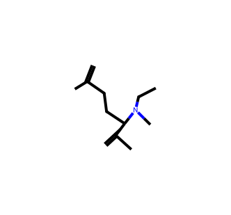 C=C(C)CCC(C(=C)C)N(C)CC